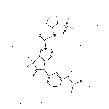 CC1(C)C(=O)N(c2cccc(OC(F)F)c2)c2ccc(C(=O)N[C@@H]3CCC[C@@H]3S(C)(=O)=O)cc21